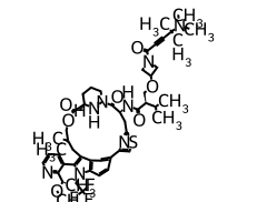 CO[C@@H](C)c1ncccc1-c1c2c3cc(ccc3n1CC(F)(F)F)-c1csc(n1)C[C@H](NC(=O)[C@@H](COC1CN(C(=O)C#CC(C)(C)N(C)C)C1)C(C)C)C(=O)N1CCC[C@H](N1)C(=O)OCC(C)(C)C2